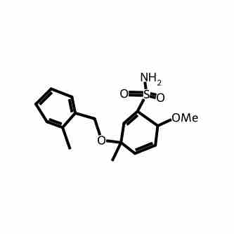 COC1C=CC(C)(OCc2ccccc2C)C=C1S(N)(=O)=O